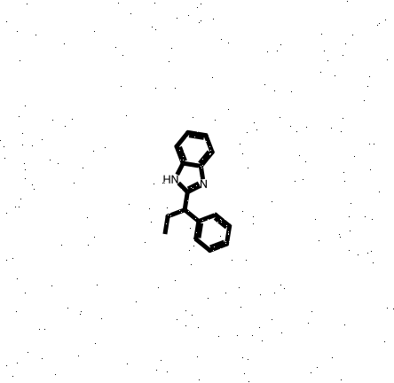 CCC(c1ccccc1)c1nc2ccccc2[nH]1